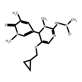 Cc1cc(C2C(OCC3CC3)=CN=C(N[S+](C)[O-])N2C)cn(C)c1=O